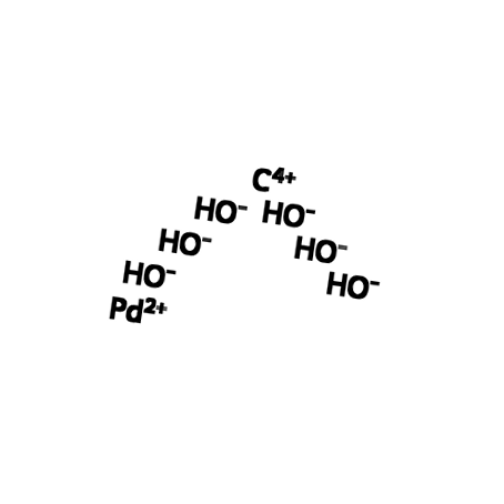 [C+4].[OH-].[OH-].[OH-].[OH-].[OH-].[OH-].[Pd+2]